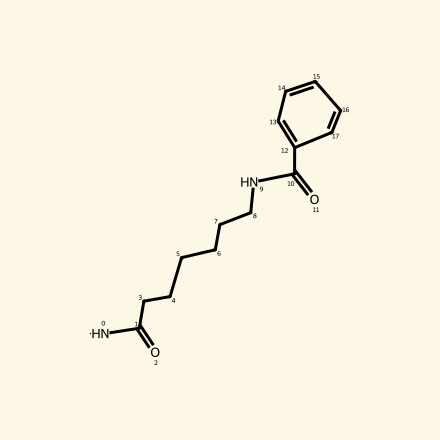 [NH]C(=O)CCCCCCNC(=O)c1ccccc1